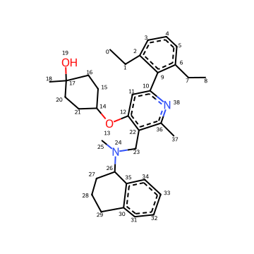 CCc1cccc(CC)c1-c1cc(OC2CCC(C)(O)CC2)c(CN(C)C2CCCc3ccccc32)c(C)n1